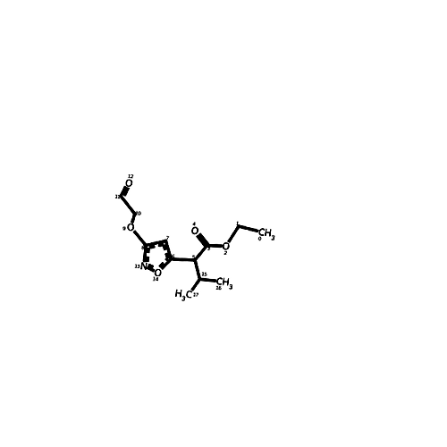 CCOC(=O)C(c1cc(OCC=O)no1)C(C)C